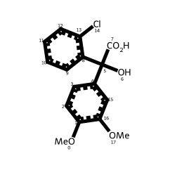 COc1ccc(C(O)(C(=O)O)c2ccccc2Cl)cc1OC